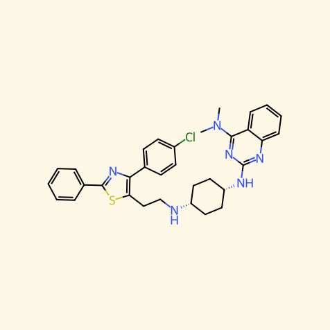 CN(C)c1nc(N[C@H]2CC[C@@H](NCCc3sc(-c4ccccc4)nc3-c3ccc(Cl)cc3)CC2)nc2ccccc12